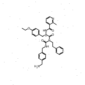 CCOc1ccc(C[C@@H](NC(=O)c2cccnc2C)C(=O)N(CCc2ccccc2)C(=O)NCc2ccc(CN)cc2)cc1